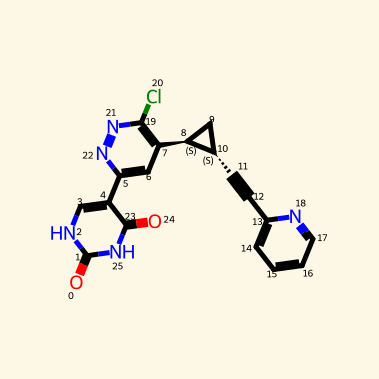 O=c1[nH]cc(-c2cc([C@H]3C[C@@H]3C#Cc3ccccn3)c(Cl)nn2)c(=O)[nH]1